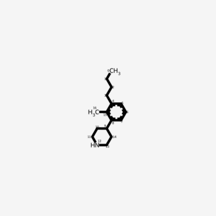 CCCCc1cccc(C2CCNCC2)c1C